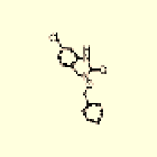 O=C1Nc2cc(Cl)ccc2CN1OCc1ccccc1